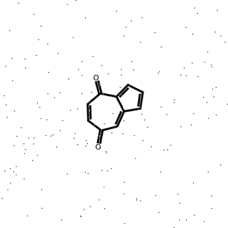 O=C1C=CC(=O)C2=CC=CC2=C1